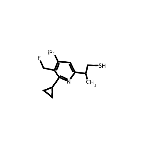 CC(C)c1cc(C(C)CS)nc(C2CC2)c1CF